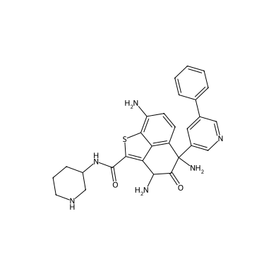 Nc1ccc2c3c(c(C(=O)NC4CCCNC4)sc13)C(N)C(=O)C2(N)c1cncc(-c2ccccc2)c1